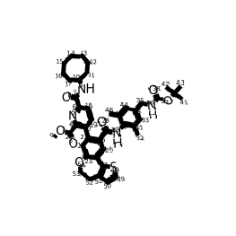 COC(=O)c1nc(C(=O)NC2CCCCCCC2)ccc1-c1cc2c(cc1C(=O)Nc1c(C)cc(CNC(=O)OC(C)(C)C)cc1C)-c1sccc1CCO2